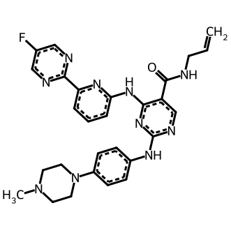 C=CCNC(=O)c1cnc(Nc2ccc(N3CCN(C)CC3)cc2)nc1Nc1cccc(-c2ncc(F)cn2)n1